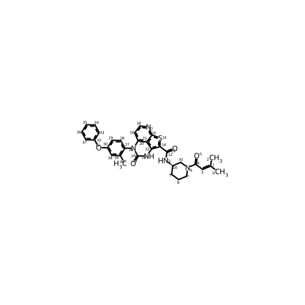 CC(C)=CC(=O)N1CCC[C@@H](NC(=O)c2sc3nccc4c3c2NC(=O)N4c2ccc(Oc3ccccc3)cc2C)C1